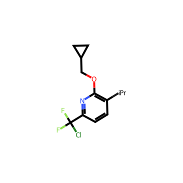 CC(C)c1ccc(C(F)(F)Cl)nc1OCC1CC1